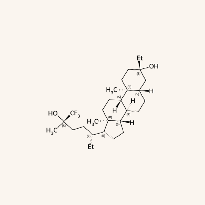 CC[C@H](CC[C@](C)(O)C(F)(F)F)[C@H]1CC[C@H]2[C@@H]3CC[C@H]4C[C@](O)(CC)CC[C@]4(C)[C@H]3CC[C@]12C